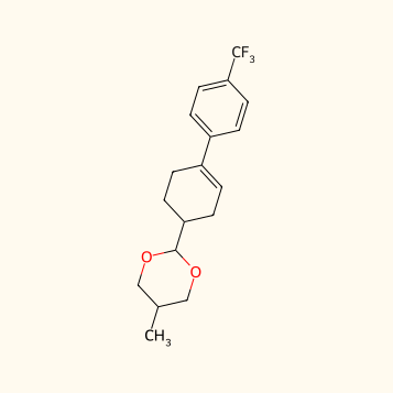 CC1COC(C2CC=C(c3ccc(C(F)(F)F)cc3)CC2)OC1